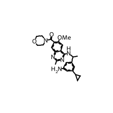 COc1cc2c(NC(C)c3cc(N)cc(C4CC4)c3)nc(C)nc2cc1C(=O)N1CCOCC1